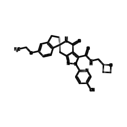 N#Cc1ccc(-n2nc3c(c2C(=O)NCC2CCO2)C(=O)N[C@@]2(CCc4cc(OCC(F)(F)F)ccc42)C3)nc1